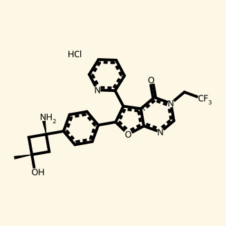 C[C@]1(O)C[C@@](N)(c2ccc(-c3oc4ncn(CC(F)(F)F)c(=O)c4c3-c3ccccn3)cc2)C1.Cl